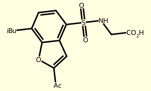 CCC(C)c1ccc(S(=O)(=O)NCC(=O)O)c2cc(C(C)=O)oc12